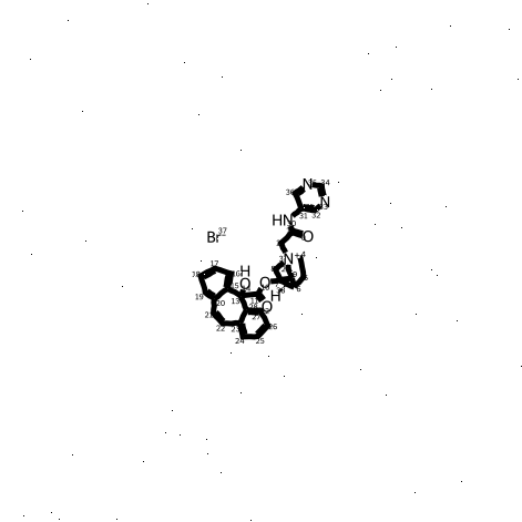 O=C(C[N+]12CCC(CC1)[C@@H](OC(=O)C1(O)c3ccccc3C=Cc3ccccc31)C2)Nc1cncnc1.[Br-]